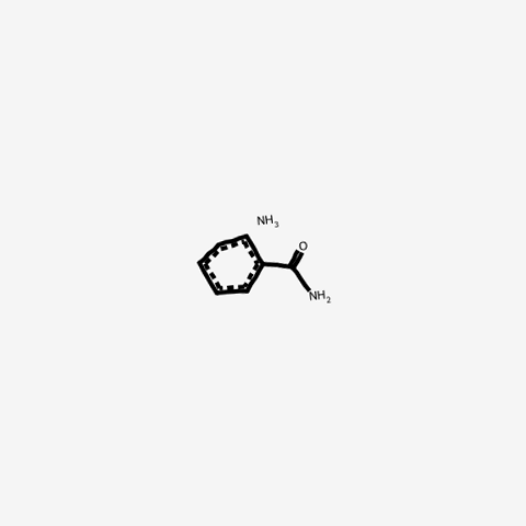 N.NC(=O)c1ccccc1